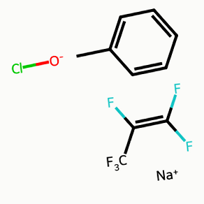 Cc1ccccc1.FC(F)=C(F)C(F)(F)F.[Na+].[O-]Cl